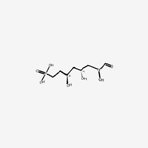 O=CN(O)C[C@H](O)C[C@@H](O)CCP(=O)(O)O